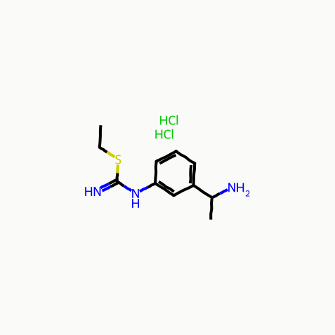 CCSC(=N)Nc1cccc(C(C)N)c1.Cl.Cl